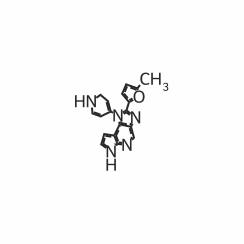 Cc1ccc(-c2nc3cnc4[nH]ccc4c3n2C2=CCNC=C2)o1